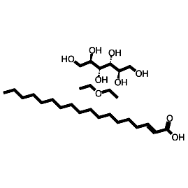 CCCCCCCCCCCCCCC/C=C/C(=O)O.CCOCC.OC[C@@H](O)[C@@H](O)[C@H](O)[C@H](O)CO